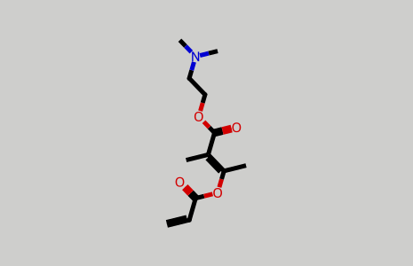 C=CC(=O)OC(C)=C(C)C(=O)OCCN(C)C